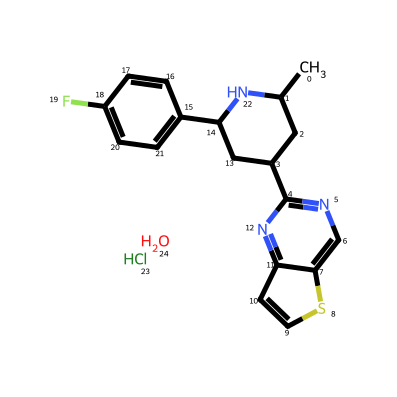 CC1CC(c2ncc3sccc3n2)CC(c2ccc(F)cc2)N1.Cl.O